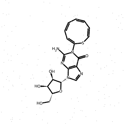 Nc1nc2c(ncn2[C@@H]2O[C@H](CO)[C@@H](O)[C@H]2O)c(=O)n1-c1cccccccs1